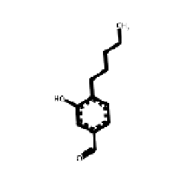 CCCCCc1ccc(C=O)cc1O